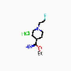 CCOC(=N)C1CCN(CCF)CC1.Cl